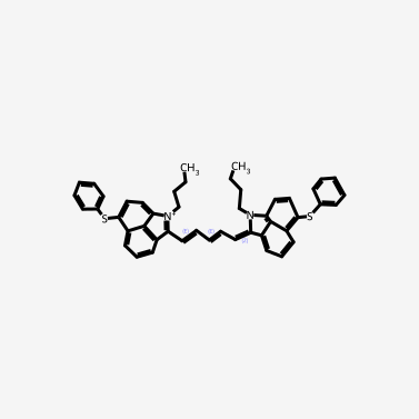 CCCCn1\c(=C/C=C/C=C/C2=[N+](CCCC)c3ccc(Sc4ccccc4)c4cccc2c34)c2cccc3c(Sc4ccccc4)ccc1c32